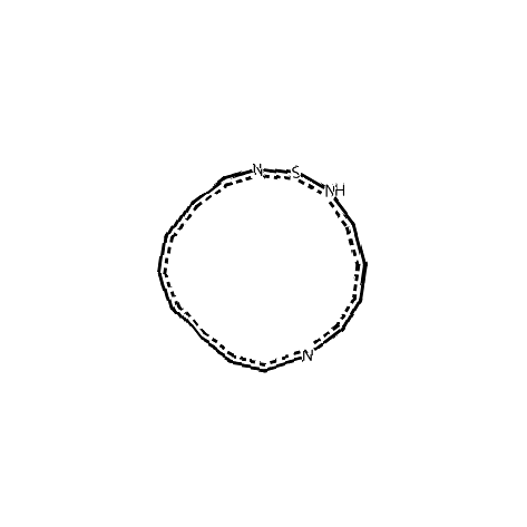 c1ccccns[nH]ccccnccc1